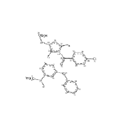 CC(C(=O)O)c1cccc(Oc2ccccc2)c1.Cc1cc(CC(=O)O)n(C)c1C(=O)c1ccc(Cl)cc1